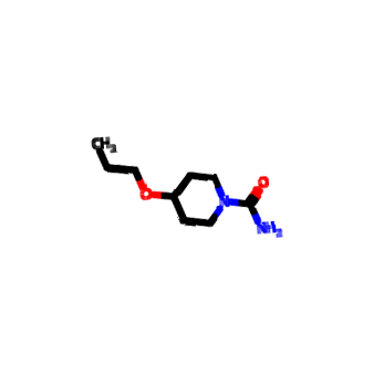 CCCOC1CCN(C(N)=O)CC1